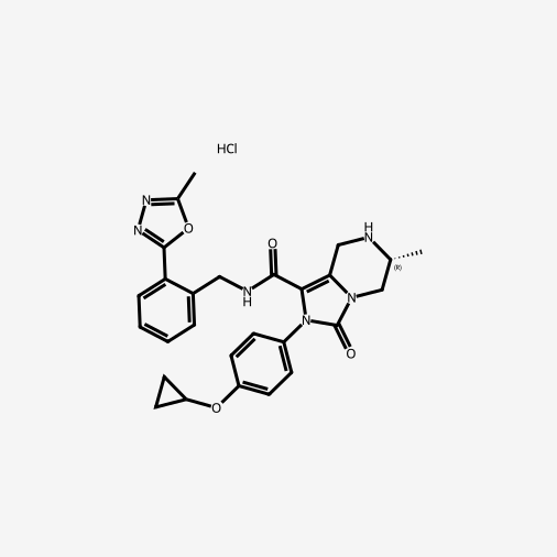 Cc1nnc(-c2ccccc2CNC(=O)c2c3n(c(=O)n2-c2ccc(OC4CC4)cc2)C[C@@H](C)NC3)o1.Cl